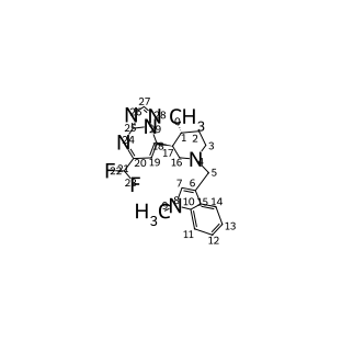 C[C@@H]1CCN(Cc2cn(C)c3ccccc23)C[C@H]1c1cc(C(F)F)nc2ncnn12